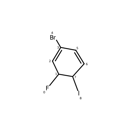 FC1C=C(Br)C=CC1I